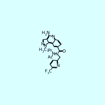 CC(=O)N(C(C)C)N(Cc1ccc(C(F)(F)F)cn1)C(=O)c1ccc2nc(N)c3cnn(C)c3c2c1